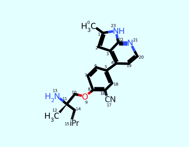 Cc1cc2c(-c3ccc(OC[C@@](C)(N)CC(C)C)c(C#N)c3)ccnc2[nH]1